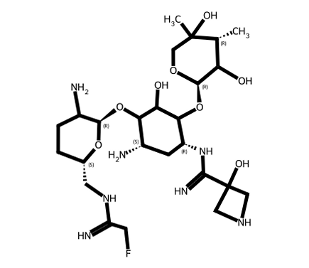 C[C@@H]1C(O)[C@@H](OC2C(O)C(O[C@H]3O[C@H](CNC(=N)CF)CCC3N)[C@@H](N)C[C@H]2NC(=N)C2(O)CNC2)OCC1(C)O